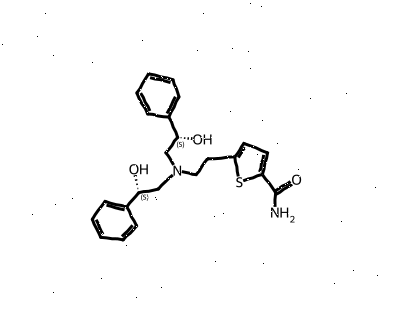 NC(=O)c1ccc(CCN(C[C@@H](O)c2ccccc2)C[C@@H](O)c2ccccc2)s1